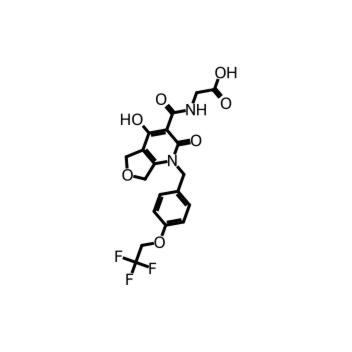 O=C(O)CNC(=O)c1c(O)c2c(n(Cc3ccc(OCC(F)(F)F)cc3)c1=O)COC2